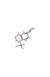 CC(C)(C)N1CCOc2cc(C#N)ccc21